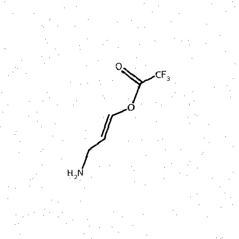 NCC=COC(=O)C(F)(F)F